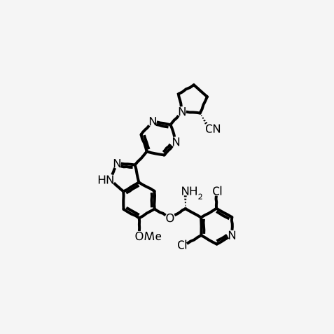 COc1cc2[nH]nc(-c3cnc(N4CCC[C@@H]4C#N)nc3)c2cc1O[C@H](N)c1c(Cl)cncc1Cl